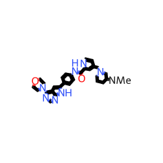 CNC1CCCN(Cc2ccnc(C(=O)Nc3ccc(-c4cc5c(N6CCOCC6)ncnc5[nH]4)cc3)c2)C1